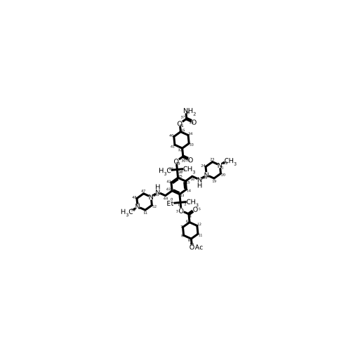 CCC(C)(OC(=O)C1CCC(OC(C)=O)CC1)c1cc(CNN2CCN(C)CC2)c(C(C)(C)OC(=O)C2CCC(OC(N)=O)CC2)cc1CNN1CCN(C)CC1